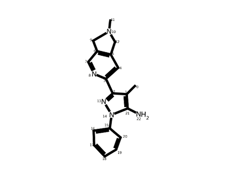 Cc1c(-c2cc3c(cn2)CN(C)C3)nn(-c2ccccc2)c1N